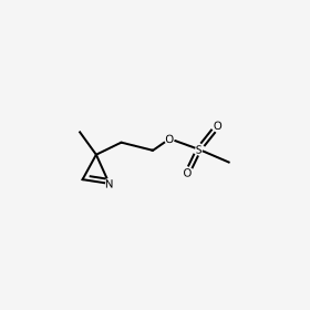 CC1(CCOS(C)(=O)=O)C=N1